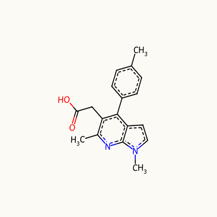 Cc1ccc(-c2c(CC(=O)O)c(C)nc3c2ccn3C)cc1